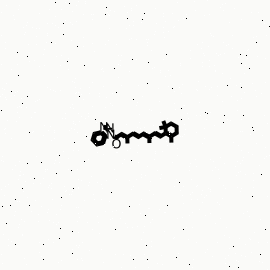 CC1=C(/C=C/C(C)=C/C=C/C(C)=C/C(=O)n2nnc3ccccc32)C(C)(C)CCC1